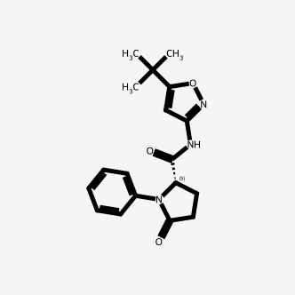 CC(C)(C)c1cc(NC(=O)[C@@H]2CCC(=O)N2c2ccccc2)no1